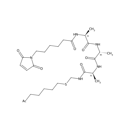 CC(=O)CCCCCSCNC(=O)[C@H](C)NC(=O)[C@@H](C)NC(=O)[C@H](C)NC(=O)CCCCCN1C(=O)C=CC1=O